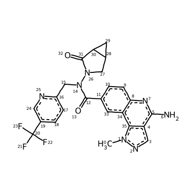 Cn1ncc2c(N)nc3ccc(C(=O)N(Cc4ccc(C(F)(F)F)cn4)N4CC5CC5C4=O)cc3c21